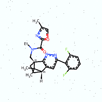 CCN(C[C@@]12CC[C@@H](c3cc(-c4c(F)cccc4F)nnc31)C2(C)C)C(=O)c1nc(C)co1